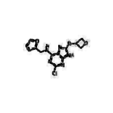 Clc1nc(NCc2ccco2)c2nc(OC3COC3)[nH]c2n1